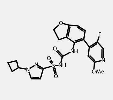 COc1cc(-c2ccc3c(c2NC(=O)NS(=O)(=O)c2ccn(C4CCC4)n2)CCO3)c(F)cn1